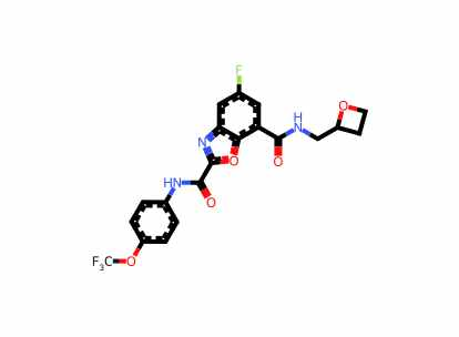 O=C(Nc1ccc(OC(F)(F)F)cc1)c1nc2cc(F)cc(C(=O)NCC3CCO3)c2o1